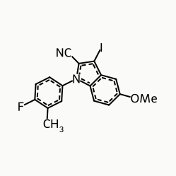 COc1ccc2c(c1)c(I)c(C#N)n2-c1ccc(F)c(C)c1